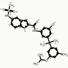 Cc1cc(OC(C)C)cc(C(C)(C)c2cc(Cl)cc(NC(=O)c3cc4cc(NS(C)(=O)=O)ccc4s3)c2)c1